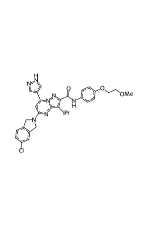 COCCOc1ccc(NC(=O)c2nn3c(-c4cn[nH]c4)cc(N4Cc5ccc(Cl)cc5C4)nc3c2C(C)C)cc1